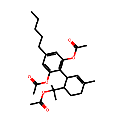 CCCCCc1cc(OC(C)=O)c(C2C=C(C)CCC2C(C)(C)OC(C)=O)c(OC(C)=O)c1